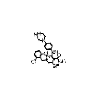 O=c1[nH]cnc2cc(Cc3c(Cl)cccc3Cl)nc(Nc3ccc(N4CCNCC4)cc3)c12